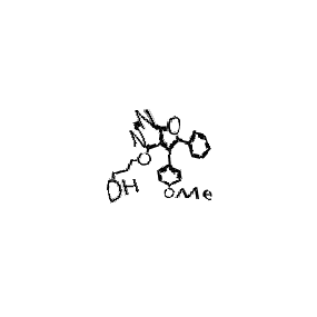 COc1ccc(-c2c(-c3ccccc3)oc3ncnc(OCCCO)c23)cc1